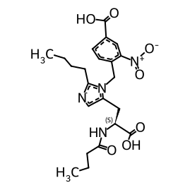 CCCCc1ncc(C[C@H](NC(=O)CCC)C(=O)O)n1Cc1ccc(C(=O)O)cc1[N+](=O)[O-]